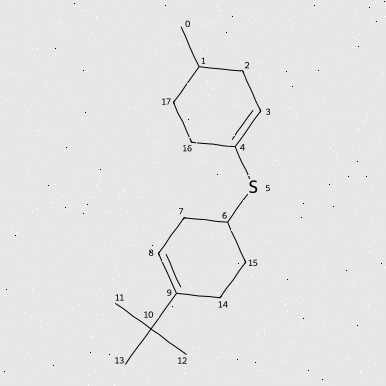 CC1CC=C(SC2CC=C(C(C)(C)C)CC2)CC1